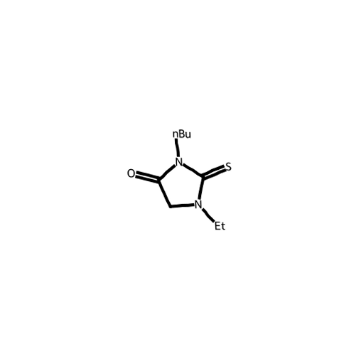 CCCCN1C(=O)CN(CC)C1=S